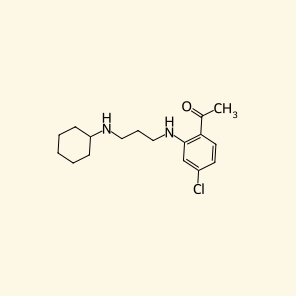 CC(=O)c1ccc(Cl)cc1NCCCNC1CCCCC1